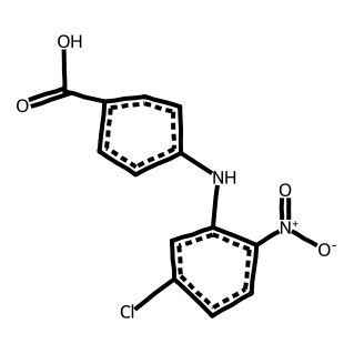 O=C(O)c1ccc(Nc2cc(Cl)ccc2[N+](=O)[O-])cc1